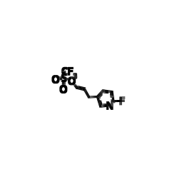 O=S(=O)(OC=CCc1ccc(F)nc1)C(F)(F)F